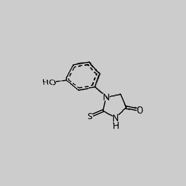 O=C1CN(c2cccc(O)c2)C(=S)N1